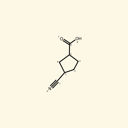 N#CC1CCC(C(=O)O)C1